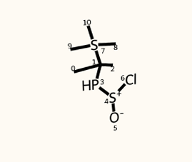 CC(C)(P[S+]([O-])Cl)S(C)(C)C